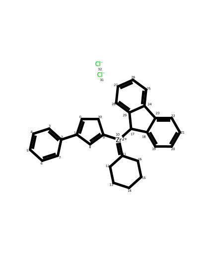 C1=C(c2ccccc2)C=[C]([Zr+2](=[C]2CCCCC2)[CH]2c3ccccc3-c3ccccc32)C1.[Cl-].[Cl-]